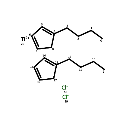 CCCCC1=CC=CC1.CCCCC1=CC=CC1.[Cl-].[Cl-].[Ti+2]